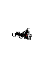 CC1(C(=O)c2ccc(Cl)cc2)CN(C(=O)Nc2ccc(Cl)cc2)N=C1c1ccc(Cl)cc1